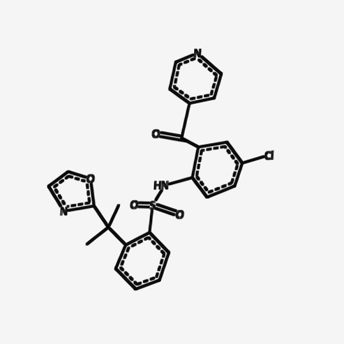 CC(C)(c1ncco1)c1ccccc1S(=O)(=O)Nc1ccc(Cl)cc1C(=O)c1ccncc1